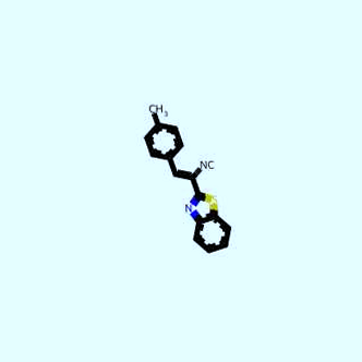 [C-]#[N+]/C(=C\c1ccc(C)cc1)c1nc2ccccc2s1